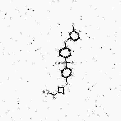 CC(C)(c1ccc(Oc2ccnc(Cl)c2)cc1)c1ccc(O[C@H]2C[C@H](NC(=O)O)C2)cc1